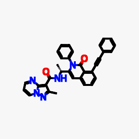 Cc1nn2cccnc2c1C(=O)N[C@H](C)c1cc2cccc(C#Cc3ccccc3)c2c(=O)n1-c1ccccc1